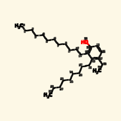 CCCCCCCCCCCCc1c(O)ccc(CC)c1CCCCCCCCC